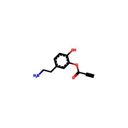 C#CC(=O)Oc1cc(CCN)ccc1O